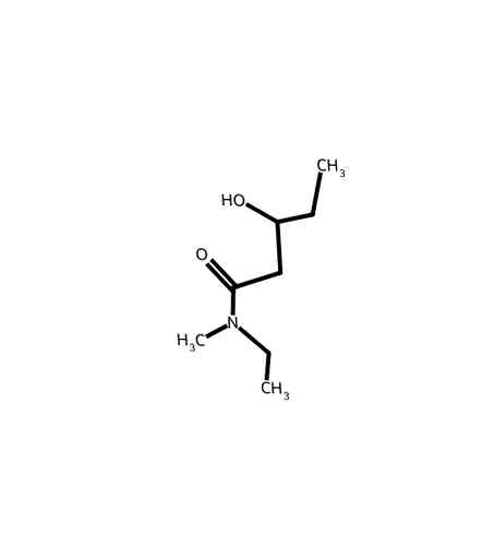 CCC(O)CC(=O)N(C)CC